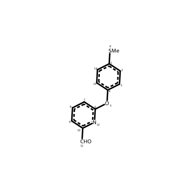 CSc1ccc(Oc2cccc(C=O)n2)cc1